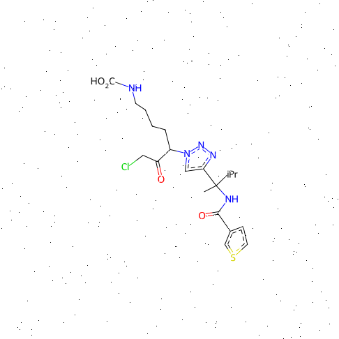 CC(C)C(C)(NC(=O)c1ccsc1)c1cn(C(CCCCNC(=O)O)C(=O)CCl)nn1